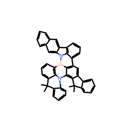 CC1(C)c2ccccc2N2c3c(cccc31)B1c3c(cc4c(c32)C(C)(C)c2ccccc2-4)-c2cccc3c4cc5ccccc5cc4n1c23